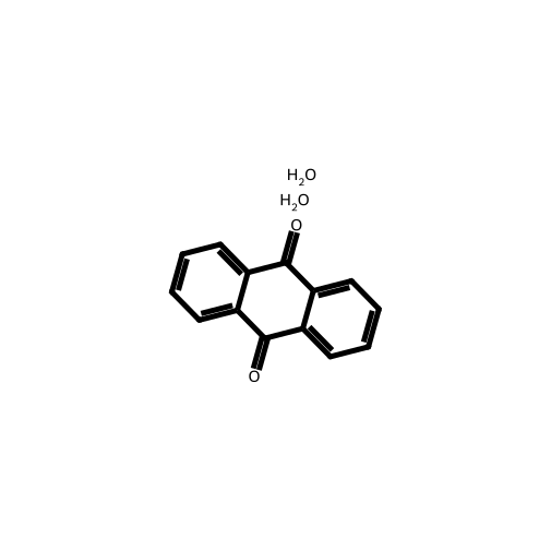 O.O.O=C1c2ccccc2C(=O)c2ccccc21